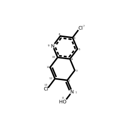 ON=C1Cc2cc(Cl)cnc2C=C1Cl